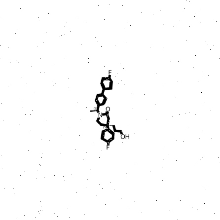 C[C@@H](c1ccc(-c2ccc(F)cc2)cc1)N1CC[C@](CCCO)(c2ccc(F)cc2)CC1=O